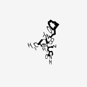 CC(C)C[C@H](NC(=O)c1cc2ccccc2o1)C(=O)NC(C#N)CC1CCNC1=O